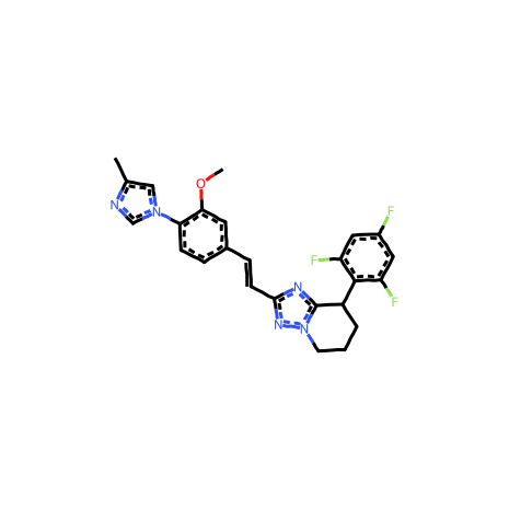 COc1cc(C=Cc2nc3n(n2)CCCC3c2c(F)cc(F)cc2F)ccc1-n1cnc(C)c1